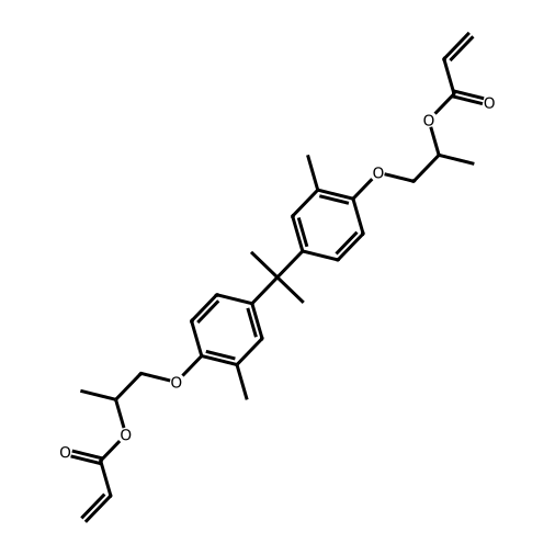 C=CC(=O)OC(C)COc1ccc(C(C)(C)c2ccc(OCC(C)OC(=O)C=C)c(C)c2)cc1C